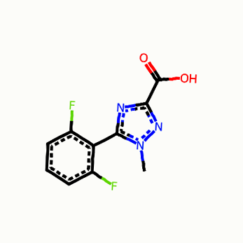 Cn1nc(C(=O)O)nc1-c1c(F)cccc1F